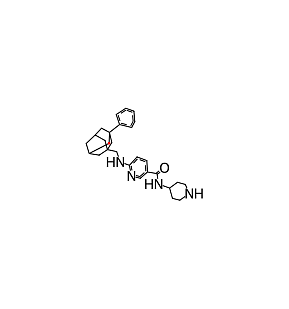 O=C(NC1CCNCC1)c1ccc(NCC23CC4CC(C2)CC(c2ccccc2)(C4)C3)nc1